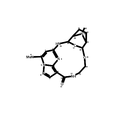 CNc1cc2nc3c(cnn13)C(=O)NCCOC1CC(N2)C2CCC1N2C